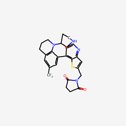 O=C1CCC(=O)N1Cc1cc2nccc(-c3cc(C(F)(F)F)cc4c3N(C3CCNC3)CCC4)c2s1